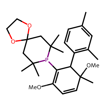 COC1=C(P2C(C)(C)CC3(CC2(C)C)OCCO3)C(c2ccc(C)cc2C)C(C)(OC)C=C1